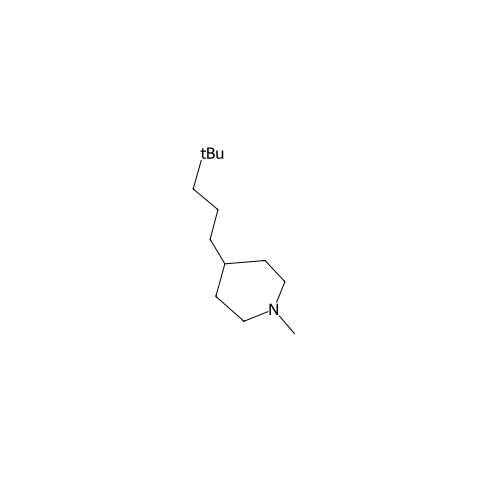 CN1CCC(CCCC(C)(C)C)CC1